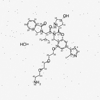 Cc1ncsc1-c1ccc(CN(C(=O)[C@@H]2C[C@@H](O)CN2)C(=O)[C@H](C(C)C)N2Cc3ccccc3C2=O)c(OCCOCCOCCN)c1.Cl